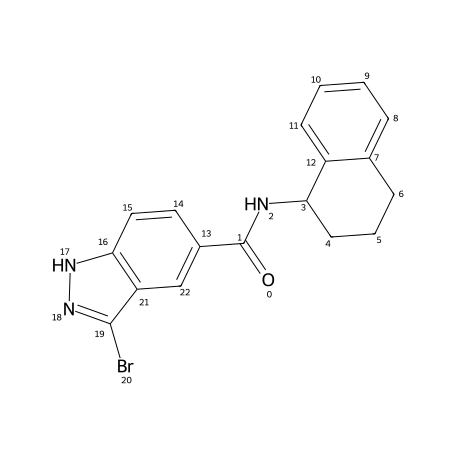 O=C(NC1CCCc2ccccc21)c1ccc2[nH]nc(Br)c2c1